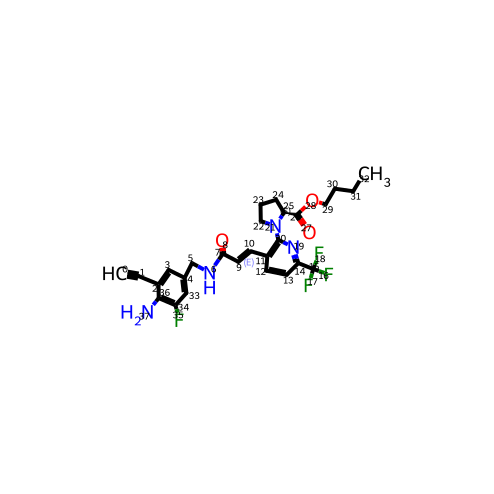 C#Cc1cc(CNC(=O)/C=C/c2ccc(C(F)(F)F)nc2N2CCC[C@H]2C(=O)OCCCC)cc(F)c1N